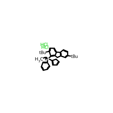 C[CH]=[Zr]([C]1=CC=CC1)([c]1ccccc1)[c]1c(C(C)(C)C)ccc2c1Cc1cc(C(C)(C)C)ccc1-2.Cl.Cl